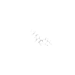 COc1ccc(-c2nnn(-c3ccc(C(F)(F)F)cc3F)c2Cl)c(Cl)c1